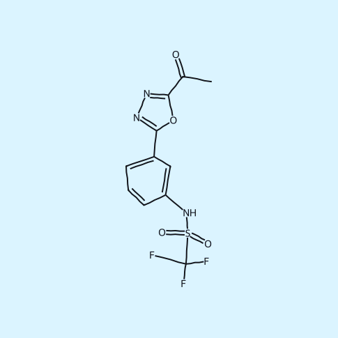 CC(=O)c1nnc(-c2cccc(NS(=O)(=O)C(F)(F)F)c2)o1